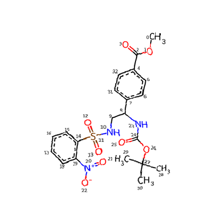 COC(=O)c1ccc(C(CNS(=O)(=O)c2ccccc2[N+](=O)[O-])NC(=O)OC(C)(C)C)cc1